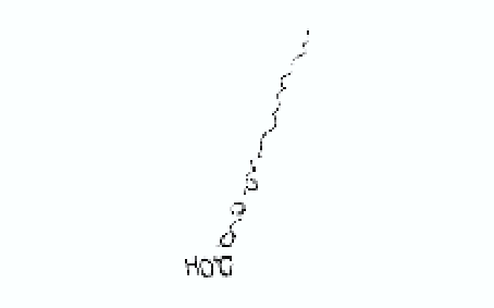 CCCCCCCCCCCCCCCCCOCCOCCOCC(=O)O